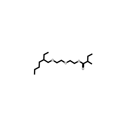 CCCCC(CC)COCCOCCOC(=O)C(C)CC